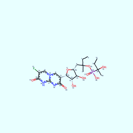 CCC(C)(C[C@H]1O[C@@H](c2cn3cc(F)c(=O)[nH]c3nc2=O)[C@@H](O)C1O)OP(=O)(O)C(C)(O)CC